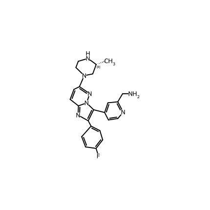 C[C@@H]1CN(c2ccc3nc(-c4ccc(F)cc4)c(-c4ccnc(CN)c4)n3n2)CCN1